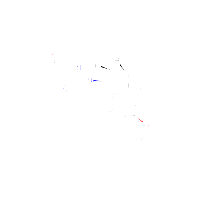 COC(=O)c1ncn([C@@H]2C3=CC[C@H](OC(=O)C(C)C)C[C@@H]3[C@H]3OC(C)(C)O[C@H]32)n1